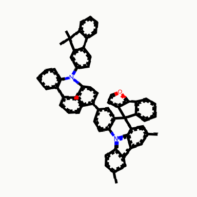 Cc1ccc2c(c1)c1cc(C)cc3c1n2-c1ccc(-c2ccc(N(c4ccc5c(c4)C(C)(C)c4ccccc4-5)c4ccccc4-c4ccccc4)cc2)cc1C31c2ccccc2-c2occc21